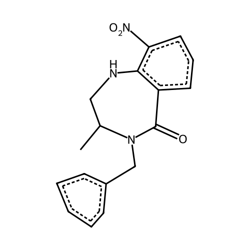 CC1CNc2c(cccc2[N+](=O)[O-])C(=O)N1Cc1ccccc1